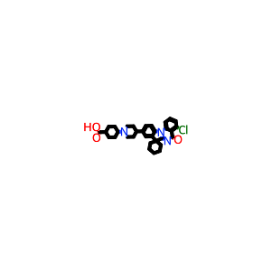 O=C(O)C1CCC(N2CCC(c3ccc4c(c3)C3(CCCCC3)c3nc(=O)c5c(Cl)cccc5n3-4)CC2)CC1